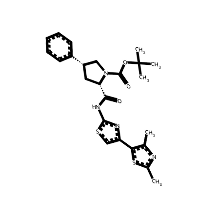 Cc1nc(C)c(-c2csc(NC(=O)[C@@H]3C[C@H](c4ccccc4)CN3C(=O)OC(C)(C)C)n2)s1